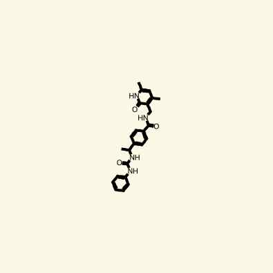 Cc1cc(C)c(CNC(=O)c2ccc(C(C)NC(=O)Nc3ccccc3)cc2)c(=O)[nH]1